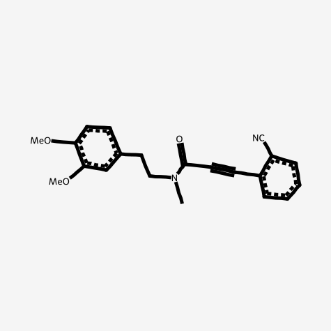 COc1ccc(CCN(C)C(=O)C#Cc2ccccc2C#N)cc1OC